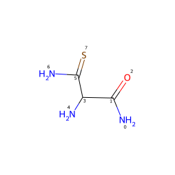 NC(=O)C(N)C(N)=S